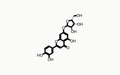 O=c1cc(-c2ccc(O)c(O)c2)oc2cc(OC3O[C@H](CO)[C@H](O)[C@H]3O)cc(O)c12